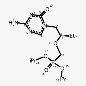 CC[C@H](Cn1cnc(N)nc1=O)OCP(=O)(OC(C)C)OC(C)C